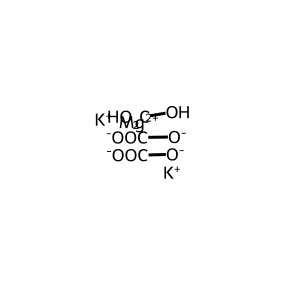 O=C(O)O.O=C([O-])[O-].O=C([O-])[O-].[K+].[K+].[Mg+2]